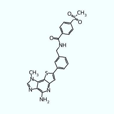 Cn1cnc2c(N)nc3cc(-c4cccc(CNC(=O)c5ccc(S(C)(=O)=O)cc5)c4)sc3c21